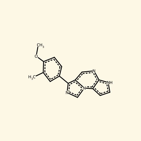 COc1ccc(-c2ncn3c2cnc2[nH]ccc23)cc1C